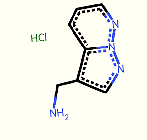 Cl.NCc1cnn2ncccc12